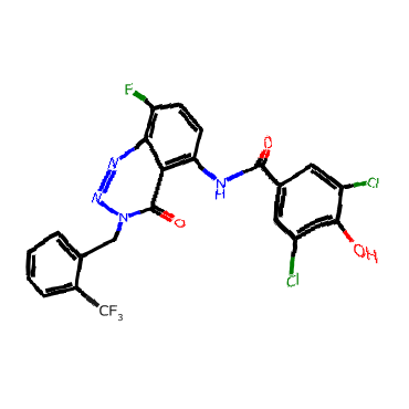 O=C(Nc1ccc(F)c2nnn(Cc3ccccc3C(F)(F)F)c(=O)c12)c1cc(Cl)c(O)c(Cl)c1